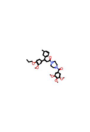 CCCOc1ccc(C(=CC(=O)N2CCN(C(=O)c3cc(OC)c(OC)c(OC)c3)CC2)c2cccc(C)c2)cc1OC